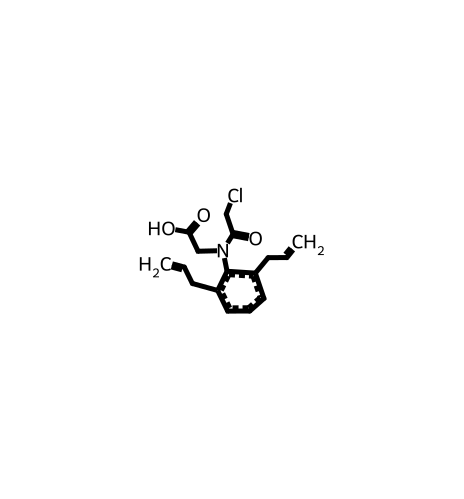 C=CCc1cccc(CC=C)c1N(CC(=O)O)C(=O)CCl